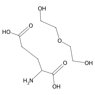 NC(CCC(=O)O)C(=O)O.OCCOCCO